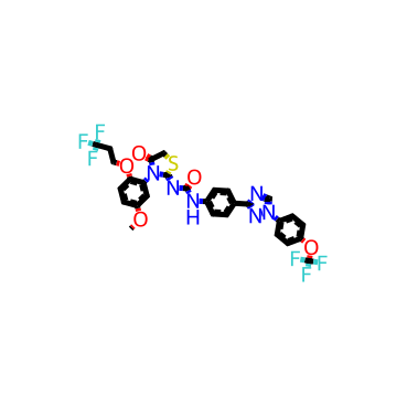 COc1ccc(OCCC(F)(F)F)c(N2C(=O)CS/C2=N\C(=O)Nc2ccc(-c3ncn(-c4ccc(OC(F)(F)F)cc4)n3)cc2)c1